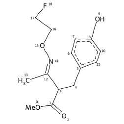 COC(=O)C(Cc1ccc(O)cc1)C(C)=NOCCF